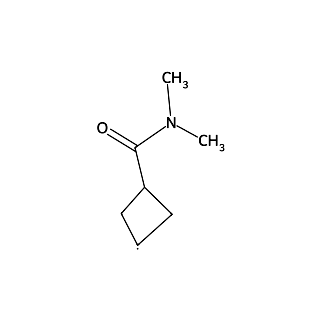 CN(C)C(=O)C1C[CH]C1